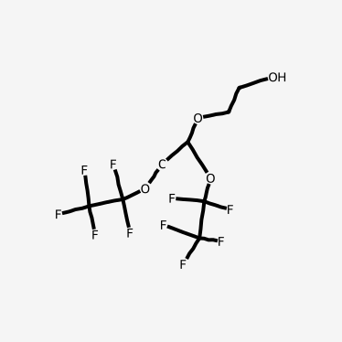 OCCOC(COC(F)(F)C(F)(F)F)OC(F)(F)C(F)(F)F